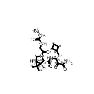 CC(C)(C)NC(=O)NCC(=O)N1C[C@H]2[C@@H]([C@H]1C(=O)N[C@H](CC1CCC1)C(=O)C(N)=O)C2(C)C